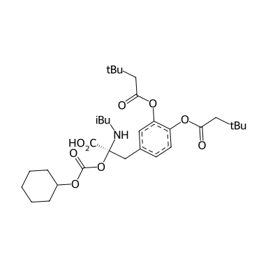 CCC(C)N[C@@](Cc1ccc(OC(=O)CC(C)(C)C)c(OC(=O)CC(C)(C)C)c1)(OC(=O)OC1CCCCC1)C(=O)O